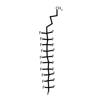 CCCCCC(F)(F)C(F)(F)C(F)(F)C(F)(F)C(F)(F)C(F)(F)C(F)(F)C(F)(F)C(F)(F)C(F)(F)F